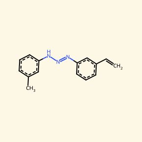 C=Cc1cccc(/N=N/Nc2cccc(C)c2)c1